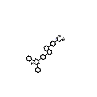 N=C/C(=C\N)c1ccc(-c2cccc3c(-c4ccc(C5=NC(c6ccccc6)NC(c6ccccc6)=N5)cc4)cccc23)cc1